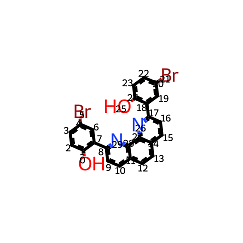 Oc1ccc(Br)cc1-c1ccc2ccc3ccc(-c4cc(Br)ccc4O)nc3c2n1